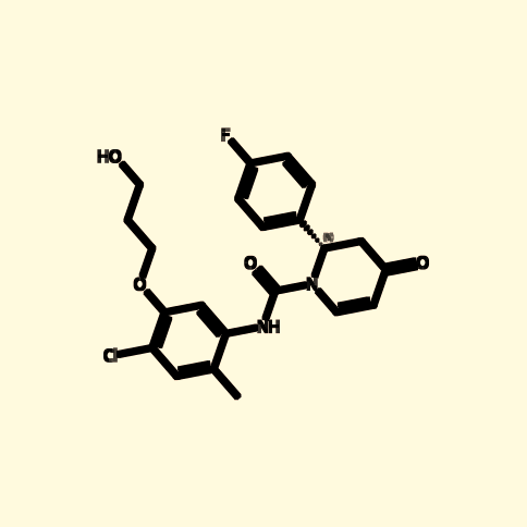 Cc1cc(Cl)c(OCCCO)cc1NC(=O)N1C=CC(=O)C[C@H]1c1ccc(F)cc1